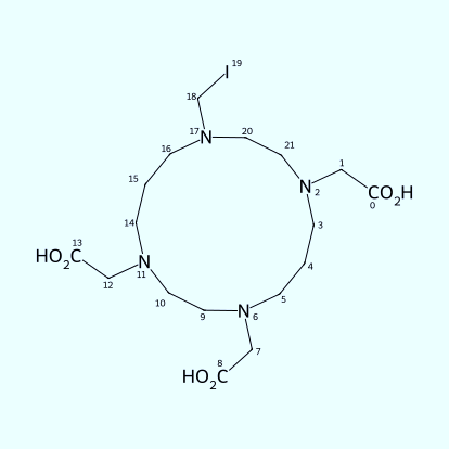 O=C(O)CN1CCCN(CC(=O)O)CCN(CC(=O)O)CCCN(CI)CC1